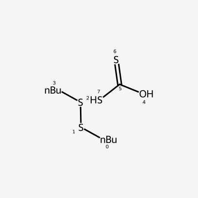 CCCCSSCCCC.OC(=S)S